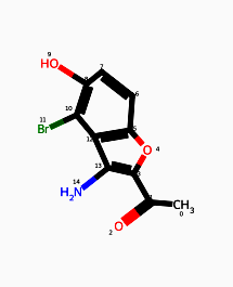 CC(=O)c1oc2ccc(O)c(Br)c2c1N